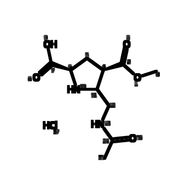 COC(=O)[C@@H]1C[C@H](C(=O)O)NC1CNC(C)=O.Cl